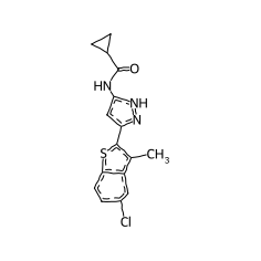 Cc1c(-c2cc(NC(=O)C3CC3)[nH]n2)sc2ccc(Cl)cc12